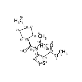 COC(=O)c1sccc1N(C(=O)[C@H]1CC[C@H](C)CC1)C(C)C